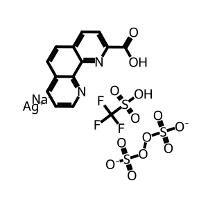 O=C(O)c1ccc2ccc3cccnc3c2n1.O=S(=O)(O)C(F)(F)F.O=S(=O)([O-])OOS(=O)(=O)[O-].[Ag+].[Na+]